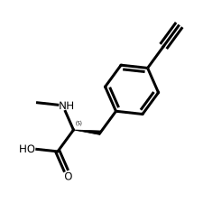 C#Cc1ccc(C[C@H](NC)C(=O)O)cc1